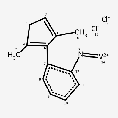 CC1=CCC(C)=C1c1ccccc1[N]=[V+2].[Cl-].[Cl-]